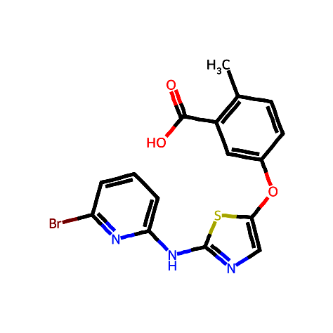 Cc1ccc(Oc2cnc(Nc3cccc(Br)n3)s2)cc1C(=O)O